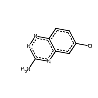 Nc1nnc2ccc(Cl)cc2n1